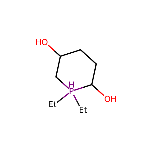 CC[PH]1(CC)CC(O)CCC1O